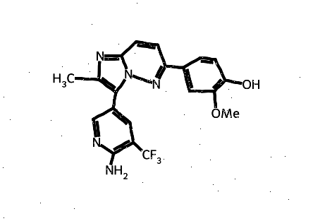 COc1cc(-c2ccc3nc(C)c(-c4cnc(N)c(C(F)(F)F)c4)n3n2)ccc1O